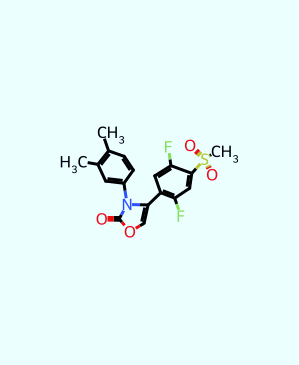 Cc1ccc(-n2c(-c3cc(F)c(S(C)(=O)=O)cc3F)coc2=O)cc1C